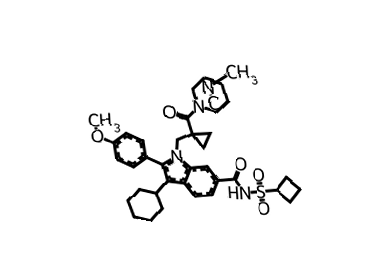 COc1ccc(-c2c(C3CCCCC3)c3ccc(C(=O)NS(=O)(=O)C4CCC4)cc3n2CC2(C(=O)N3CC4CCC3CN4C)CC2)cc1